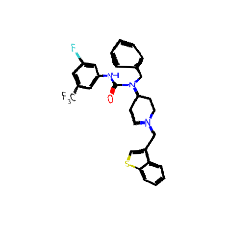 O=C(Nc1cc(F)cc(C(F)(F)F)c1)N(Cc1ccccc1)C1CCN(Cc2csc3ccccc23)CC1